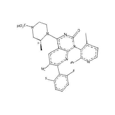 Cc1ccnc(C(C)C)c1-n1c(=O)nc(N2CCN(C(=O)O)C[C@@H]2C)c2cc(C#N)c(-c3c(F)cccc3F)nc21